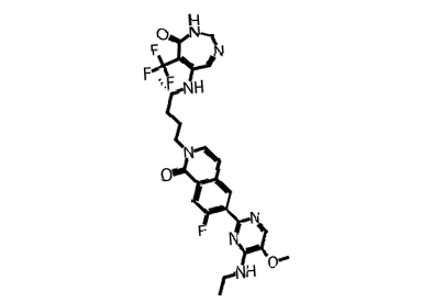 CCNc1nc(-c2cc3ccn(CCC[C@H](C)NC4=C(C(F)(F)F)C(=O)NCN=C4)c(=O)c3cc2F)ncc1OC